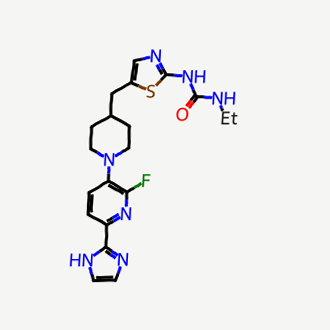 CCNC(=O)Nc1ncc(CC2CCN(c3ccc(-c4ncc[nH]4)nc3F)CC2)s1